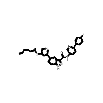 C=C/C=C\C=C(/C)Oc1cncc(-c2ccc3[nH]nc(C(=O)Nc4ccc(-c5ccc(F)cc5)nc4)c3c2)c1